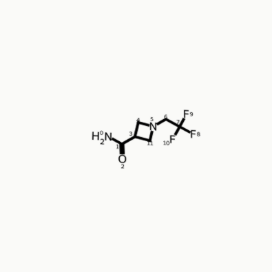 NC(=O)C1CN(CC(F)(F)F)C1